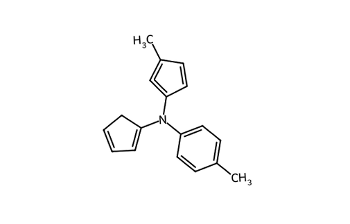 CC1=C=C(N(C2=CC=CC2)c2ccc(C)cc2)C=C1